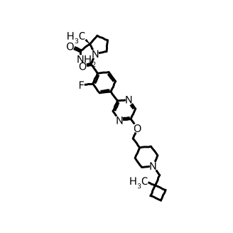 CC1(CN2CCC(COc3cnc(-c4ccc(C(=O)N5CCC[C@@]5(C)C(N)=O)c(F)c4)cn3)CC2)CCC1